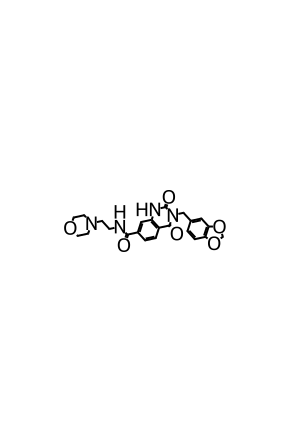 O=C(NCCN1CCOCC1)c1ccc2c(=O)n(Cc3ccc4c(c3)OCO4)c(=O)[nH]c2c1